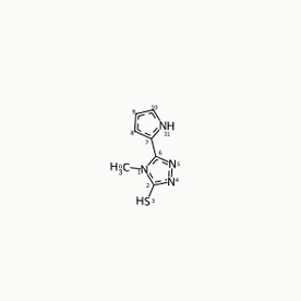 Cn1c(S)nnc1-c1ccc[nH]1